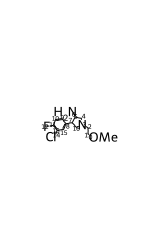 COCCN1CC(N)C(c2ccc(F)c(Cl)c2)C1